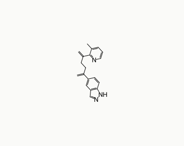 C=C(CCC(=C)c1ncccc1C)c1ccc2[nH]ncc2c1